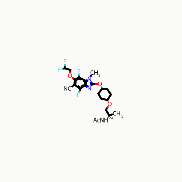 CC(=O)N[C@@H](C)CO[C@H]1CC[C@H](Oc2nc3c(F)c(C#N)c(OCC(F)F)c(F)c3n2C)CC1